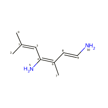 CC(C)=C/C(N)=C(C)\C=C\N